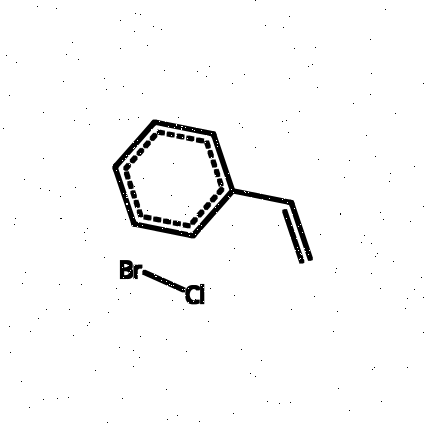 C=Cc1ccccc1.ClBr